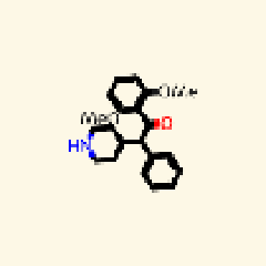 COc1cccc(OC)c1C(=O)C(c1ccccc1)C1CCNCC1